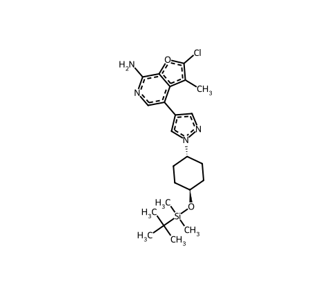 Cc1c(Cl)oc2c(N)ncc(-c3cnn([C@H]4CC[C@H](O[Si](C)(C)C(C)(C)C)CC4)c3)c12